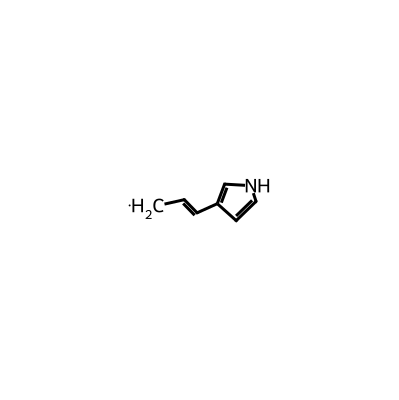 [CH2]C=Cc1cc[nH]c1